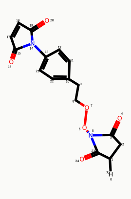 [3H]C1CC(=O)N(OOCCc2ccc(N3C(=O)C=CC3=O)cc2)C1=O